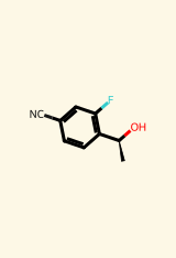 C[C@H](O)c1ccc(C#N)cc1F